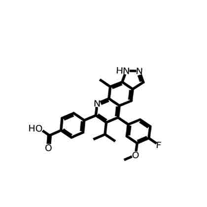 COc1cc(-c2c(C(C)C)c(-c3ccc(C(=O)O)cc3)nc3c(C)c4[nH]ncc4cc23)ccc1F